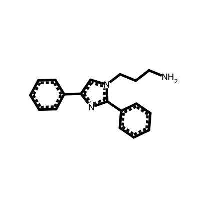 NCCCn1cc(-c2ccccc2)nc1-c1ccccc1